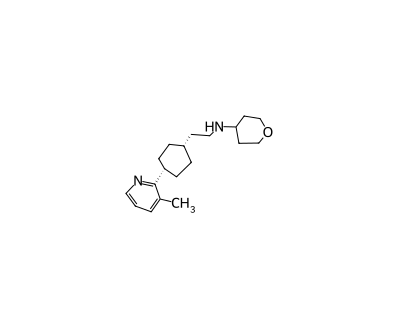 Cc1cccnc1[C@H]1CC[C@@H](CCNC2CCOCC2)CC1